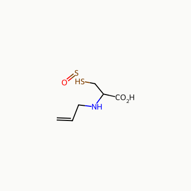 C=CCNC(CS)C(=O)O.O=S